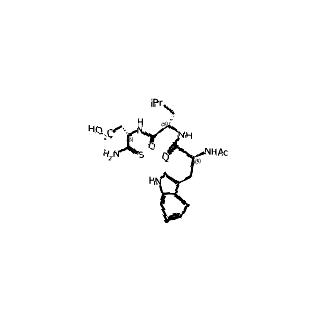 CC(=O)N[C@@H](Cc1c[nH]c2ccccc12)C(=O)N[C@@H](CC(C)C)C(=O)N[C@@H](CC(=O)O)C(N)=S